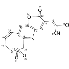 N#CC(C#N)=Cc1cc2cc3c(cc2oc1=O)C#CCCS(=O)(=O)C3